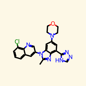 Cc1nc2c(-c3nnc[nH]3)cc(N3CCOCC3)cc2n1-c1cnc2c(Cl)cccc2c1